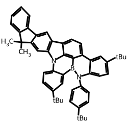 CC(C)(C)c1ccc(N2B3c4cc(C(C)(C)C)ccc4-n4c5cc6c(cc5c5ccc(c3c54)-c3cc(C(C)(C)C)ccc32)-c2ccccc2C6(C)C)cc1